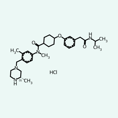 Cc1cc(N(C)C(=O)C2CCC(Oc3cccc(CC(=O)NC(C)C)c3)CC2)ccc1CN1CCN[C@@H](C)C1.Cl